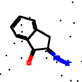 [N-]=[N+]=C1Cc2ccccc2C1=O